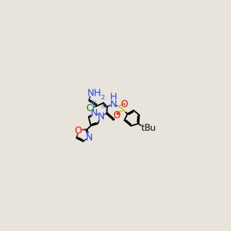 C=C(/C(=C\C(Cl)=C/N)NS(=O)(=O)c1ccc(C(C)(C)C)cc1)n1cc(-c2ncco2)cn1